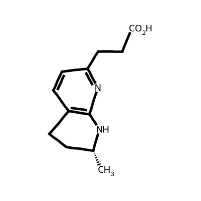 C[C@@H]1CCc2ccc(CCC(=O)O)nc2N1